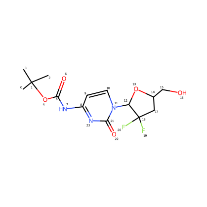 CC(C)(C)OC(=O)Nc1ccn(C2OC(CO)CC2(F)F)c(=O)n1